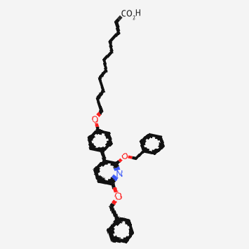 O=C(O)CCCCCCCCCCOc1ccc(-c2ccc(OCc3ccccc3)nc2OCc2ccccc2)cc1